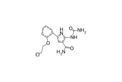 NC(=O)Nc1[nH]c(-c2ccccc2OCCCl)cc1C(N)=O